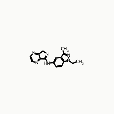 CCn1nc(C)c2cc(NC3=NCc4nccnc43)ccc21